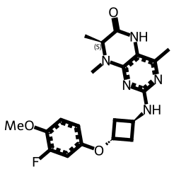 COc1ccc(O[C@H]2C[C@H](Nc3nc(C)c4c(n3)N(C)[C@@H](C)C(=O)N4)C2)cc1F